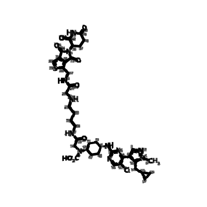 Cn1ncc(-c2nc(N[C@H]3CC[C@H](N(CC(=O)NCCCCNCC(=O)NCc4scc5c4C(=O)N(C4CCC(=O)NC4=O)C5=O)C(=O)O)CC3)ncc2Cl)c1CC1CC1